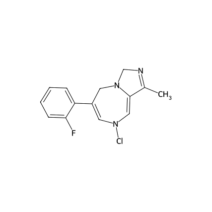 CC1=NCN2CC(c3ccccc3F)=CN(Cl)C=C12